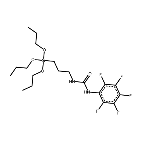 CCCO[Si](CCCNC(=O)Nc1c(F)c(F)c(F)c(F)c1F)(OCCC)OCCC